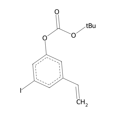 C=Cc1cc(I)cc(OC(=O)OC(C)(C)C)c1